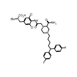 CC(C)(C)N(Cc1cc(Cl)c(NC(=O)CN2CCN(CCCCC(c3ccc(F)cc3)c3ccc(F)cc3)CC2C(N)=O)c(Cl)c1)C(=O)O